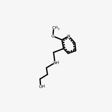 COc1ncccc1CNCCCO